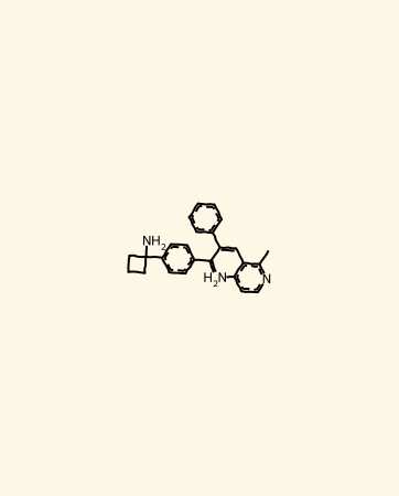 C=C(/C(=C\c1c(N)ccnc1C)c1ccccc1)c1ccc(C2(N)CCC2)cc1